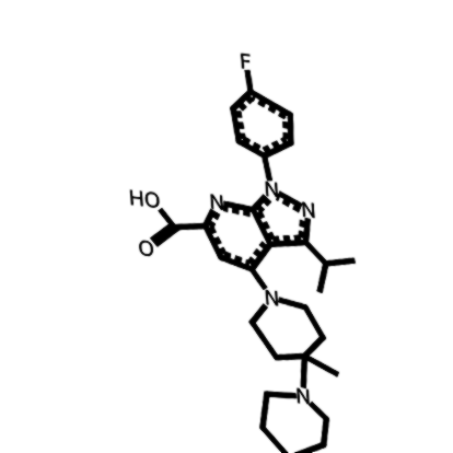 CC(C)c1nn(-c2ccc(F)cc2)c2nc(C(=O)O)cc(N3CCC(C)(N4CCCCC4)CC3)c12